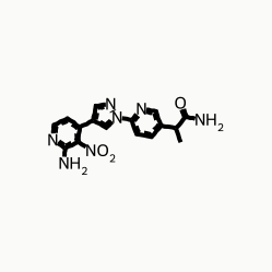 CC(C(N)=O)c1ccc(-n2cc(-c3ccnc(N)c3[N+](=O)[O-])cn2)nc1